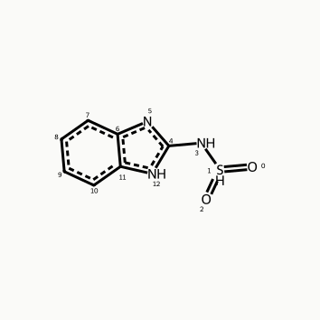 O=[SH](=O)Nc1nc2ccccc2[nH]1